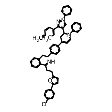 C=C/C=C\C(=C/C)c1nn(-c2ccccc2)cc1C1CC(c2ccc(CCc3ccccc3C(=N)CCc3ccc(-c4ccc(Cl)cc4)o3)cc2)=C=CN1c1ccccc1